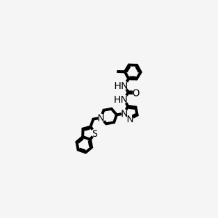 Cc1ccccc1NC(=O)Nc1ccnn1C1CCN(Cc2cc3ccccc3s2)CC1